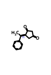 C/C(=C1/CC(=O)CC1=O)c1ccccc1